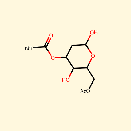 CCCC(=O)OC1CC(O)OC(COC(C)=O)C1O